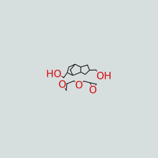 C(OCC1CO1)C1CO1.OCC1CC2C3CC(CO)C(C3)C2C1